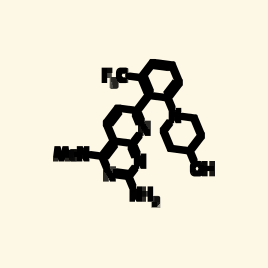 CNc1nc(N)nc2nc(-c3c(N4CCC(O)CC4)cccc3C(F)(F)F)ccc12